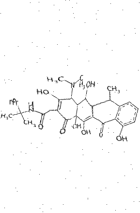 CCCC(C)(C)NC(=O)C1=C(O)C(N(C)C)C2C(O)C3C(=C(O)C2(O)C1=O)C(=O)c1c(O)cccc1C3C